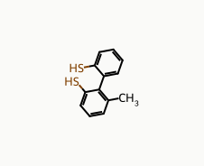 Cc1cccc(S)c1-c1ccccc1S